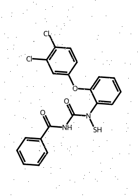 O=C(NC(=O)N(S)c1ccccc1Oc1ccc(Cl)c(Cl)c1)c1ccccc1